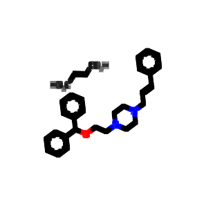 C(=Cc1ccccc1)CN1CCN(CCOC(c2ccccc2)c2ccccc2)CC1.O=C(O)C=CC(=O)O